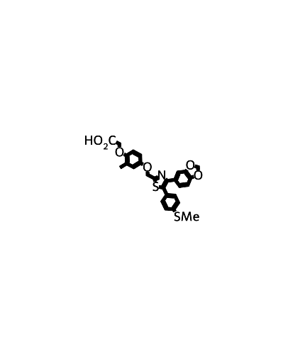 CSc1ccc(-c2sc(COc3ccc(OCC(=O)O)c(C)c3)nc2-c2ccc3c(c2)OCO3)cc1